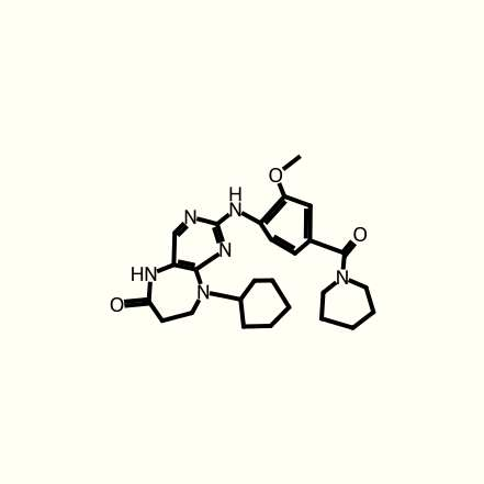 COc1cc(C(=O)N2CCCCC2)ccc1Nc1ncc2c(n1)N(C1CCCCC1)CCC(=O)N2